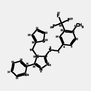 Cc1ccc(CSc2nnc(-c3ccccn3)n2Cc2cccs2)cc1C(F)(F)F